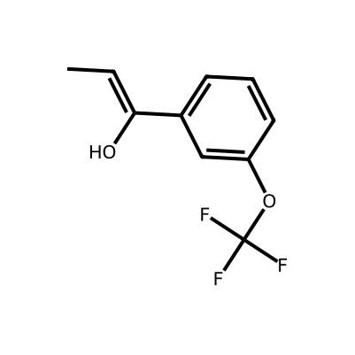 CC=C(O)c1cccc(OC(F)(F)F)c1